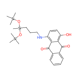 C[Si](C)(C)O[Si](C)(CCCNc1ccc(O)c2c1C(=O)c1ccccc1C2=O)O[Si](C)(C)C